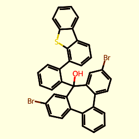 OC1(c2ccccc2-c2cccc3c2sc2ccccc23)c2cc(Br)ccc2-c2ccccc2-c2ccc(Br)cc21